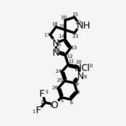 Cl.FC(F)Oc1ccc2ncc(-c3cc4n(n3)CCC43CCNC3)cc2c1